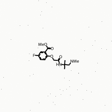 CNCC(C)(C)NC(=O)COc1ccc(F)cc1C(=O)OC